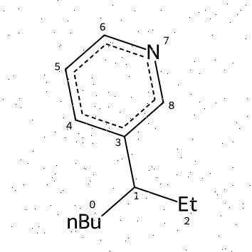 CCCCC(CC)c1cccnc1